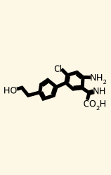 N=C(C(=O)O)c1cc(-c2ccc(CCO)cc2)c(Cl)cc1N